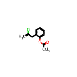 C=C(Cl)Cc1ccccc1OC(=O)C(Cl)(Cl)Cl